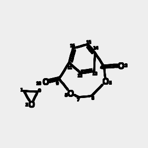 C1CO1.O=C1OCCOC(=O)c2ccc1cc2